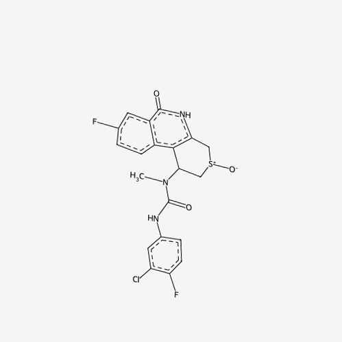 CN(C(=O)Nc1ccc(F)c(Cl)c1)C1C[S+]([O-])Cc2[nH]c(=O)c3cc(F)ccc3c21